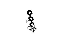 CC[N+]1(CC)CCOc2cc(-c3ccc(-c4ccccc4)cc3F)cnc21